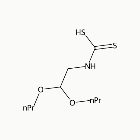 CCCOC(CNC(=S)S)OCCC